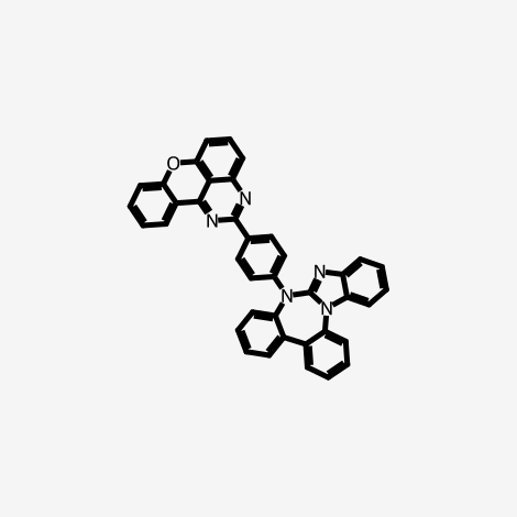 c1ccc2c(c1)Oc1cccc3nc(-c4ccc(N5c6ccccc6-c6ccccc6-n6c5nc5ccccc56)cc4)nc-2c13